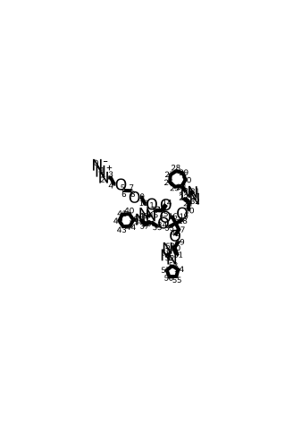 [N-]=[N+]=NCCOCCOCCOCC(=O)OCC(COCc1cn(C2CCCCCC2)nn1)(COCc1cn(C2CCCCC2)nn1)COCc1cn(C2CCCC2)nn1